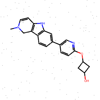 CN1C=Cc2[nH]c3cc(-c4ccc(OC5CC(O)C5)nc4)ccc3c2C1